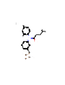 C=C(CC)CCC(=O)N(c1cccc(CS(C)(C)C(C)(C)C)c1)c1ccc(C)cc1C